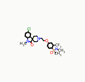 CN=S(C)(=O)c1ccc(OCCN2CCC3(CC2)C(=O)N(C)c2ccc(Cl)cc23)cc1C(F)(F)F